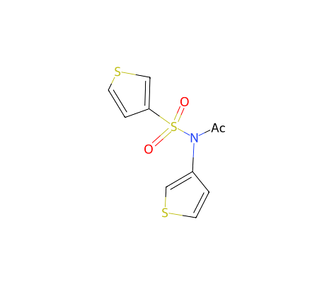 CC(=O)N(c1ccsc1)S(=O)(=O)c1ccsc1